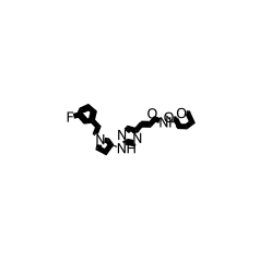 O=C(/C=C/c1cnc(N[C@@H]2CCN(CCc3cccc(F)c3)C2)cn1)NOC1CCCCO1